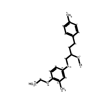 CCOC(CCc1ccc(C)cc1)CSc1ccc(OCC(=O)O)c(C)c1